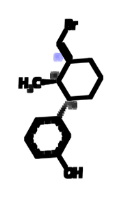 C[C@H]1/C(=C/Br)CCC[C@@H]1c1cccc(O)c1